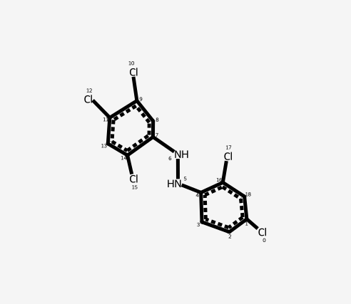 Clc1ccc(NNc2cc(Cl)c(Cl)cc2Cl)c(Cl)c1